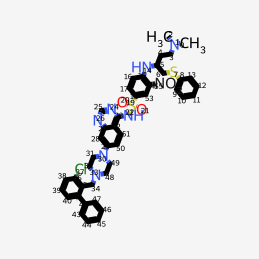 CN(C)CCC(CSc1ccccc1)Nc1ccc(S(=O)(=O)Nc2ncnc3cc(N4CCN(Cc5c(Cl)cccc5-c5ccccc5)CC4)ccc23)cc1[N+](=O)[O-]